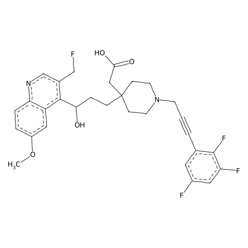 COc1ccc2ncc(CF)c(C(O)CCC3(CC(=O)O)CCN(CC#Cc4cc(F)cc(F)c4F)CC3)c2c1